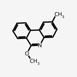 COc1nc2ccc(C)cc2c2ccccc12